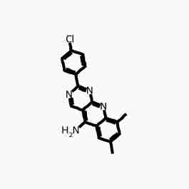 Cc1cc(C)c2nc3nc(-c4ccc(Cl)cc4)ncc3c(N)c2c1